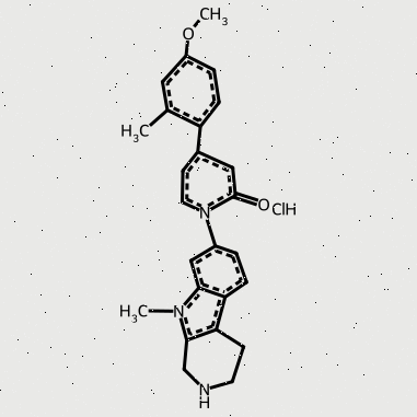 COc1ccc(-c2ccn(-c3ccc4c5c(n(C)c4c3)CNCC5)c(=O)c2)c(C)c1.Cl